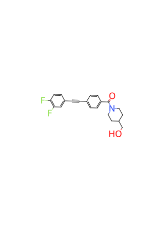 O=C(c1ccc(C#Cc2ccc(F)c(F)c2)cc1)N1CCC(CO)CC1